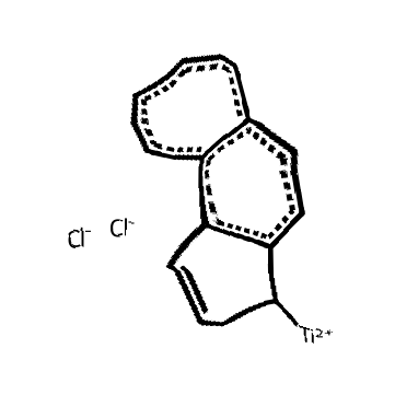 [Cl-].[Cl-].[Ti+2][CH]1C=Cc2c1ccc1ccccc21